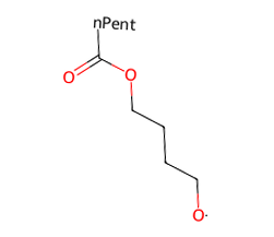 CCCCCC(=O)OCCCC[O]